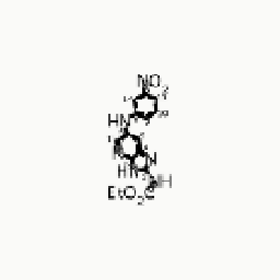 CCOC(=O)Nc1nc2cc(Nc3cccc([N+](=O)[O-])c3)cnc2[nH]1